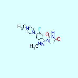 CN1CCN(c2cc3c(cc2F)c(N2CCC(=O)NC2=O)nn3C)CC1